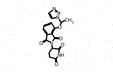 CC(Oc1cccc2c1C(=O)N(C1CCC(=O)NC1=O)C2=O)n1ccnn1